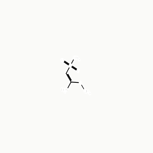 CS/C(N)=C\S(C)(=O)=O